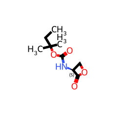 CCC(C)(C)OC(=O)N[C@H]1COC1=O